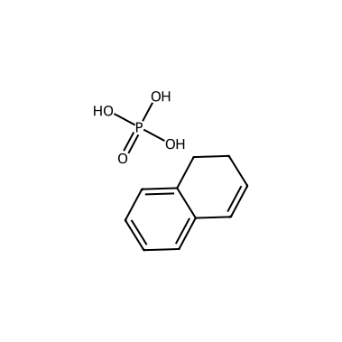 C1=Cc2ccccc2CC1.O=P(O)(O)O